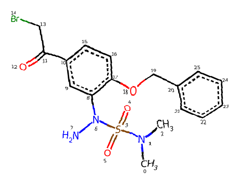 CN(C)S(=O)(=O)N(N)c1cc(C(=O)CBr)ccc1OCc1ccccc1